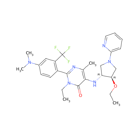 CCO[C@@H]1CN(c2ccccn2)C[C@H]1Nc1c(C)nc(-c2ccc(N(C)C)cc2C(F)(F)F)n(CC)c1=O